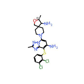 Cc1nc2c(Sc3cccc(Cl)c3Cl)c(N)cc(N3CCC4(CC3)CO[C@@H](C)C4N)n2n1